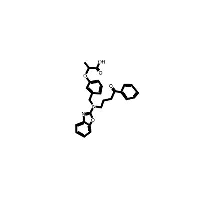 CC(Oc1cccc(CN(CCCC(=O)c2ccccc2)c2nc3ccccc3o2)c1)C(=O)O